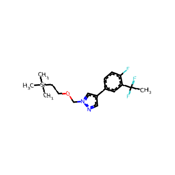 CC(F)(F)c1cc(-c2cnn(COCC[Si](C)(C)C)c2)ccc1F